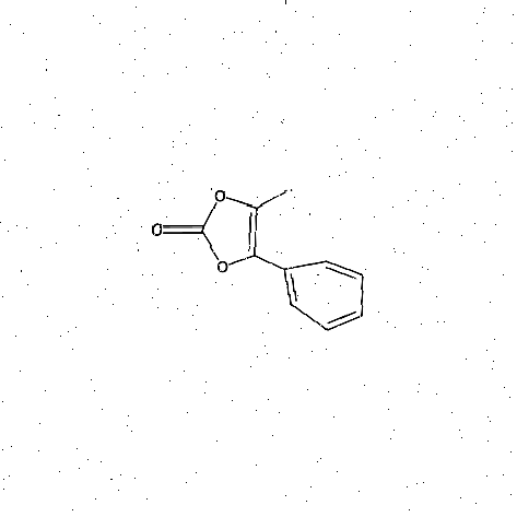 [CH2]c1oc(=O)oc1-c1ccccc1